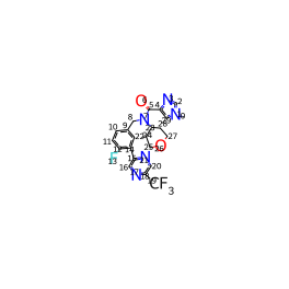 Cn1cnc(C(=O)N(Cc2ccc(F)c(-c3cnc(C(F)(F)F)cn3)c2)C2CCOCC2)c1